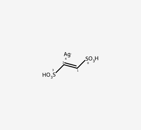 O=S(=O)(O)C=CS(=O)(=O)O.[Ag]